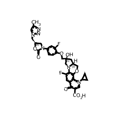 Cc1cn(C[C@H]2CN(c3ccc(OC[C@]4(O)C[C@H]5COc6c(c(F)cc7c(=O)c(C(=O)O)cn(C8CC8)c67)N5C4)c(F)c3)C(=O)O2)nn1